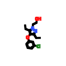 CCc1nn(CCO)c(CC)c1Oc1cccc(Cl)c1